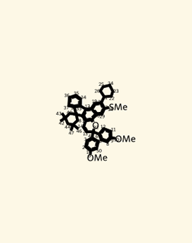 COc1ccc(C2(c3ccc(OC)cc3)C=Cc3c4c(c5cc(C6CCCCC6)c(SC)cc5c3O2)-c2ccccc2C42CC(C)(C)CC(C)(C)C2)cc1